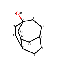 [O]C12CCC3CCC(CC1)C(C3)C2